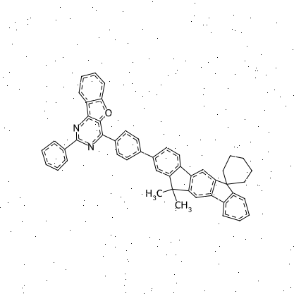 CC1(C)c2cc(-c3ccc(-c4nc(-c5ccccc5)nc5c4oc4ccccc45)cc3)ccc2-c2cc3c(cc21)-c1ccccc1C31CCCCC1